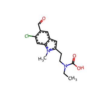 CCN(CCc1cc2cc(C=O)c(Cl)cc2n1C)C(=O)O